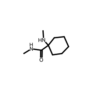 CNC(=O)C1(NC)CCCCC1